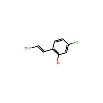 O=CC=Cc1ccc(Cl)cc1O